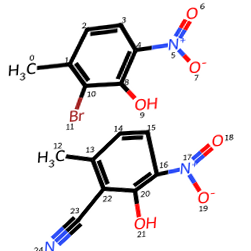 Cc1ccc([N+](=O)[O-])c(O)c1Br.Cc1ccc([N+](=O)[O-])c(O)c1C#N